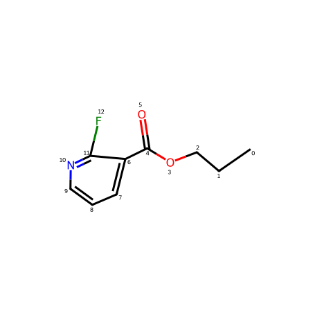 CCCOC(=O)c1cccnc1F